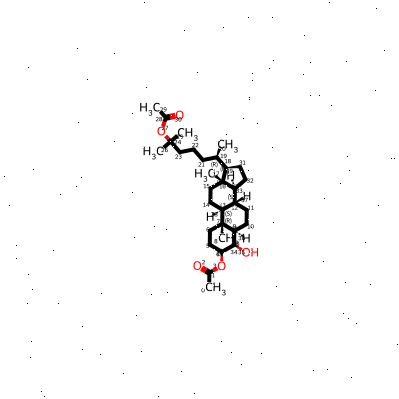 CC(=O)O[C@H]1CC[C@@]2(C)[C@@H](CC[C@@H]3[C@@H]2CC[C@]2(C)[C@@H]([C@H](C)CCCC(C)(C)OC(C)=O)CC[C@@H]32)[C@H]1O